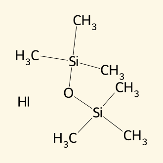 C[Si](C)(C)O[Si](C)(C)C.I